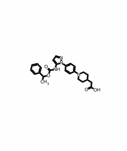 CC(OC(=O)Nc1ccnn1-c1ccc(N2CCC(CC(=O)O)CC2)cc1)c1ccccc1